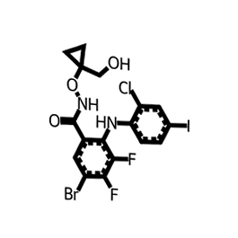 O=C(NOC1(CO)CC1)c1cc(Br)c(F)c(F)c1Nc1ccc(I)cc1Cl